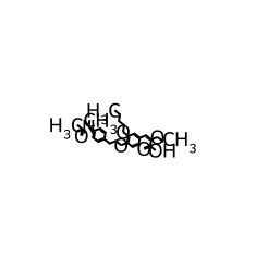 CCCCOc1cc(/C=C(/OCC)C(=O)O)ccc1OCCc1ccc(N(C)C(C)=O)cc1